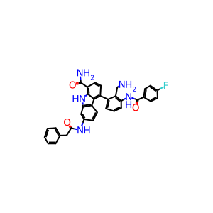 NCc1c(NC(=O)c2ccc(F)cc2)cccc1-c1ccc(C(N)=O)c2[nH]c3cc(NC(=O)Cc4ccccc4)ccc3c12